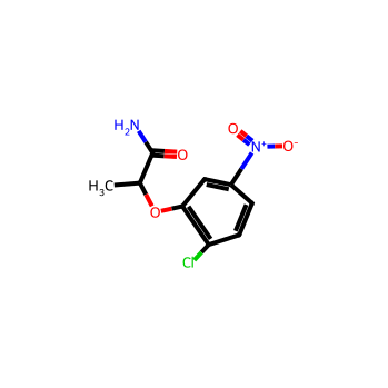 CC(Oc1cc([N+](=O)[O-])ccc1Cl)C(N)=O